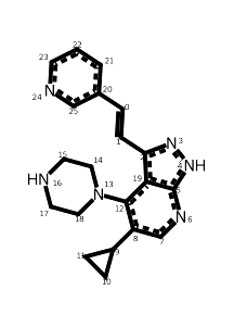 C(=Cc1n[nH]c2ncc(C3CC3)c(N3CCNCC3)c12)c1cccnc1